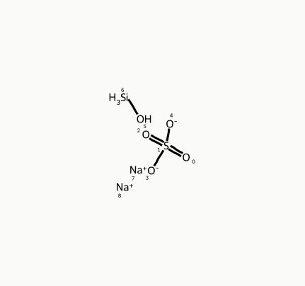 O=S(=O)([O-])[O-].O[SiH3].[Na+].[Na+]